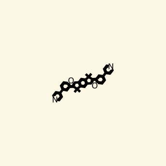 CC1(C)c2cc3c(cc2-c2oc4ccc(-c5ccncc5)cc4c21)C(C)(C)c1c-3oc2ccc(-c3ccncc3)cc12